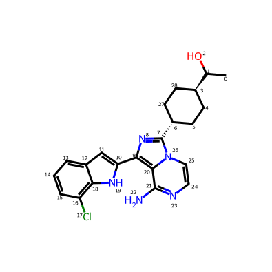 CC(O)[C@H]1CC[C@H](c2nc(-c3cc4cccc(Cl)c4[nH]3)c3c(N)nccn32)CC1